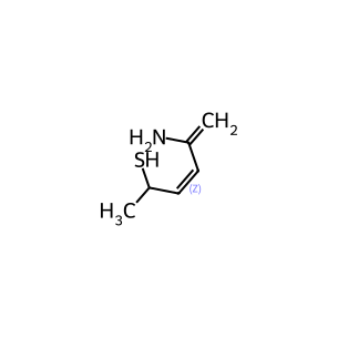 C=C(N)/C=C\C(C)S